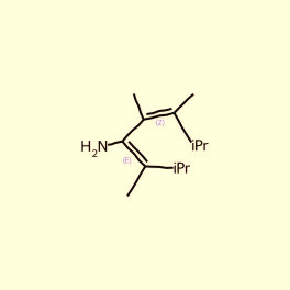 CC(=C(\C)C(C)C)/C(N)=C(/C)C(C)C